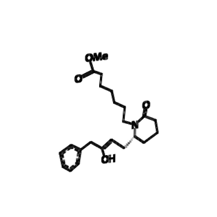 COC(=O)CCCCCCN1C(=O)CCC[C@@H]1C/C=C(\O)Cc1ccccc1